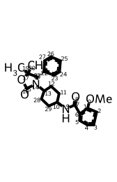 COc1ccccc1C(=O)NC1CCC(N2C(=O)OC(C)(C)[C@@H]2c2ccccc2)CC1